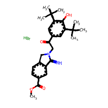 Br.COC(=O)c1ccc2c(c1)C(=N)N(CC(=O)c1cc(C(C)(C)C)c(O)c(C(C)(C)C)c1)C2